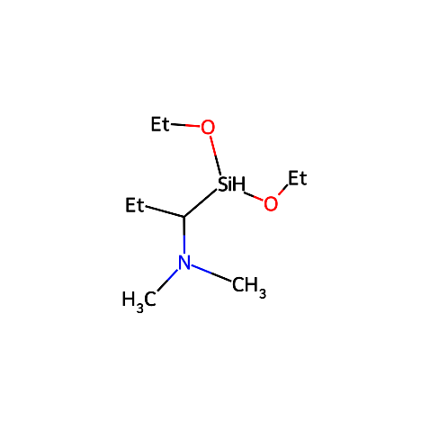 CCO[SiH](OCC)C(CC)N(C)C